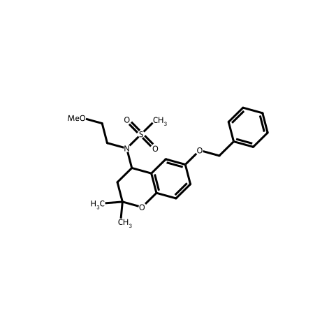 COCCN(C1CC(C)(C)Oc2ccc(OCc3ccccc3)cc21)S(C)(=O)=O